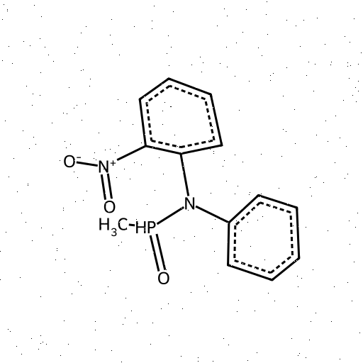 C[PH](=O)N(c1ccccc1)c1ccccc1[N+](=O)[O-]